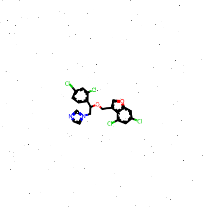 Clc1ccc(C(Cn2ccnc2)OCc2coc3cc(Cl)cc(Cl)c23)c(Cl)c1